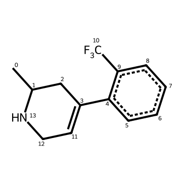 CC1CC(c2ccccc2C(F)(F)F)=CCN1